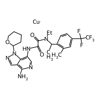 CCN(C(=O)C(=O)Nc1cnc(N)c2cnn(C3CCCCO3)c12)C(C)c1ccc(C(F)(F)C(F)(F)F)cc1C.[Cu]